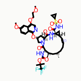 COCCOc1cnc(O[C@@H]2C[C@H]3C(=O)N[C@]4(C(=O)NS(=O)(=O)C5CC5)C[C@H]4/C=C\CC[C@H](C)C[C@@H](C)[C@H](NC(=O)OC(C)(C)C(F)(F)F)C(=O)N3C2)c2ccc(OC)cc12